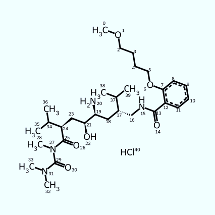 COCCCCOc1ccccc1C(=O)NC[C@H](C[C@H](N)[C@@H](O)C[C@@H](C(=O)N(C)C(=O)N(C)C)C(C)C)C(C)C.Cl